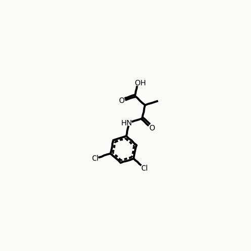 CC(C(=O)O)C(=O)Nc1cc(Cl)cc(Cl)c1